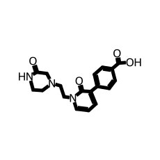 O=C1CN(CCn2cccc(-c3ccc(C(=O)O)cc3)c2=O)CCN1